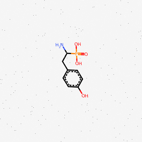 NC(Cc1ccc(O)cc1)P(=O)(O)O